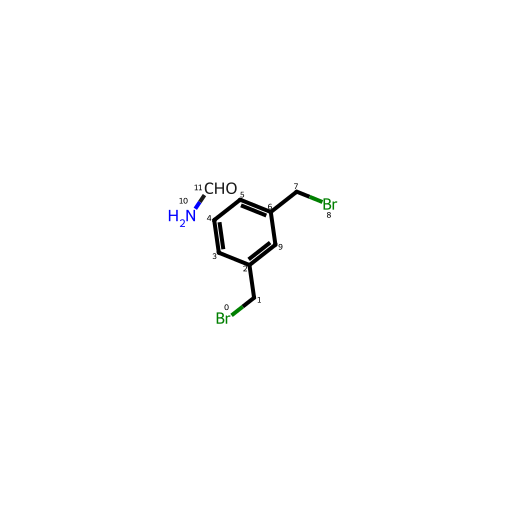 BrCc1cccc(CBr)c1.NC=O